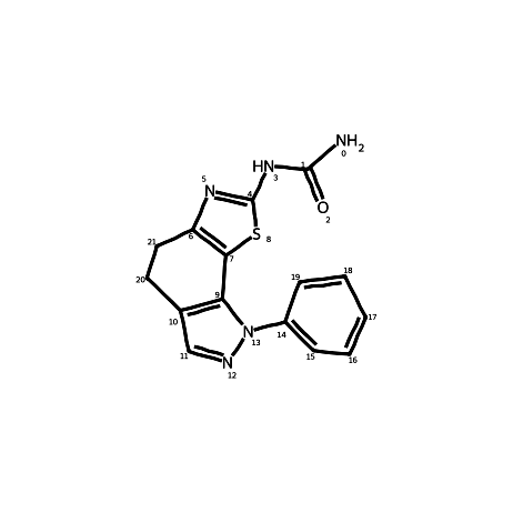 NC(=O)Nc1nc2c(s1)-c1c(cnn1-c1ccccc1)CC2